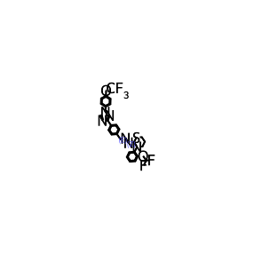 FC(F)Oc1ccccc1N1CCCS/C1=N\N=C\c1ccc(-c2ncn(-c3ccc(OC(F)(F)F)cc3)n2)cc1